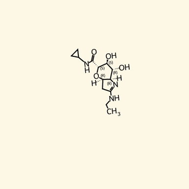 CCNC1=N[C@@H]2[C@@H](O)[C@H](O)[C@@H](C(=O)NC3CC3)O[C@@H]2C1